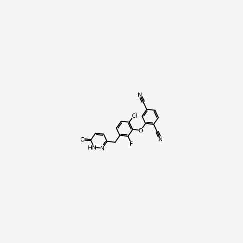 N#Cc1ccc(C#N)c(Oc2c(Cl)ccc(Cc3ccc(=O)[nH]n3)c2F)c1